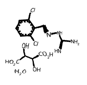 N=C(N)N/N=C/c1c(Cl)cccc1Cl.O.O=C(O)C(O)C(O)C(=O)O